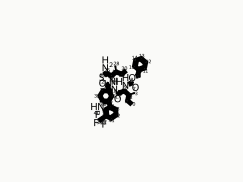 CC[C@H](C)C(NC(=O)OCc1ccccc1)C(=O)N[C@]1(C(=O)NC(C(N)=S)[C@@H](C)CC)CCc2[nH]c3c(C(F)(F)F)cccc3c2C1